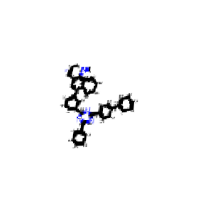 C=Nc1c(/C=C\C)cc(-c2cccc(-c3nc(-c4ccccc4)nc(-c4ccc(-c5ccccc5)cc4)n3)c2)c2ccccc12